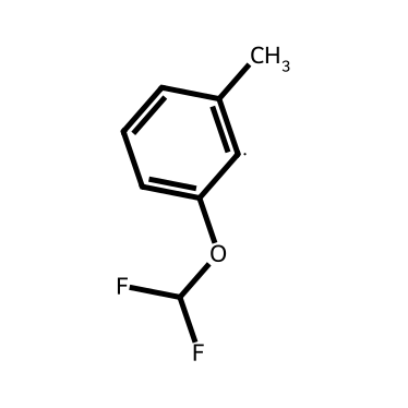 Cc1[c]c(OC(F)F)ccc1